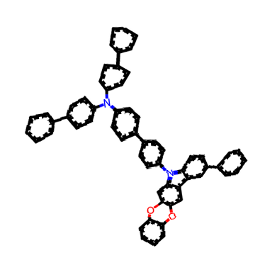 c1ccc(-c2ccc(N(c3ccc(-c4ccccc4)cc3)c3ccc(-c4ccc(-n5c6ccc(-c7ccccc7)cc6c6cc7c(cc65)Oc5ccccc5O7)cc4)cc3)cc2)cc1